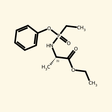 CCOC(=O)[C@H](C)NP(=O)(CC)Oc1ccccc1